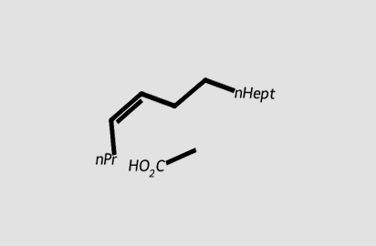 CC(=O)O.CCC/C=C\CCCCCCCCC